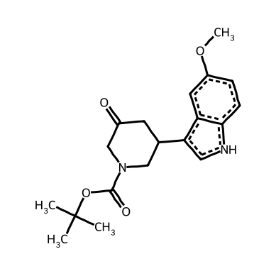 COc1ccc2[nH]cc(C3CC(=O)CN(C(=O)OC(C)(C)C)C3)c2c1